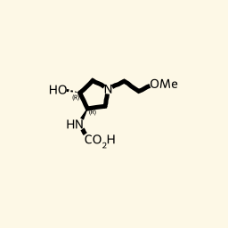 COCCN1C[C@@H](O)[C@H](NC(=O)O)C1